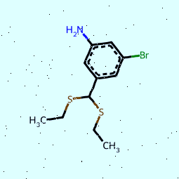 CCSC(SCC)c1cc(N)cc(Br)c1